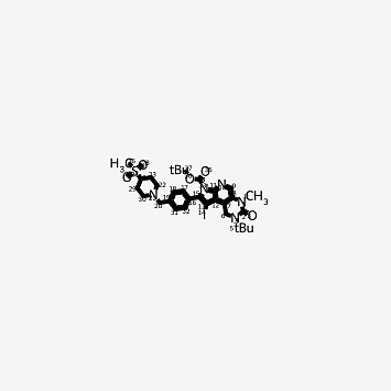 CN1C(=O)N(C(C)(C)C)Cc2c1cnc1c2c(I)c(-c2ccc(CN3CCC(S(C)(=O)=O)CC3)cc2)n1C(=O)OC(C)(C)C